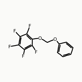 Fc1c(F)c(F)c(OCOc2ccccc2)c(F)c1F